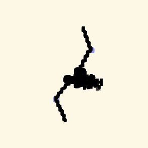 CCCCCCCC/C=C\CCCCCCCC(=O)O[C@H](COC(=O)CCCCCCC/C=C\CCCCCCCCC)COP(=O)(O)OC[C@H](N)C(=O)O